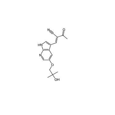 CC(=O)/C(C#N)=C/c1c[nH]c2ncc(OCC(C)(C)O)cc12